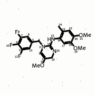 COC1=CN(Cc2cc(F)c(F)c(F)c2)C(Nc2cc(OC)c(OC)cc2C)=NC1